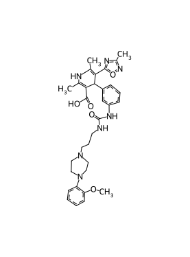 COc1ccccc1N1CCN(CCCNC(=O)Nc2cccc(C3C(C(=O)O)=C(C)NC(C)=C3c3nc(C)no3)c2)CC1